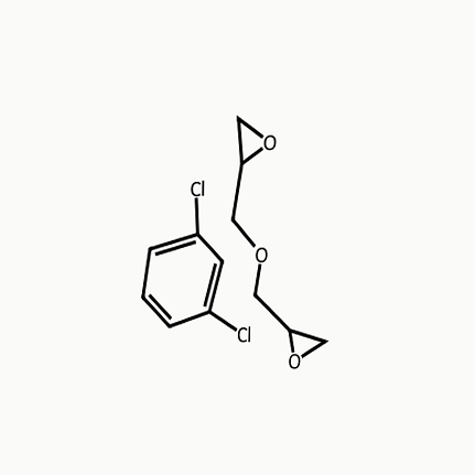 C(OCC1CO1)C1CO1.Clc1cccc(Cl)c1